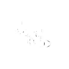 CC(C)(CO)NC(=O)CNc1nonc1/C(=N/O)NC1CCc2ccc(F)cc21